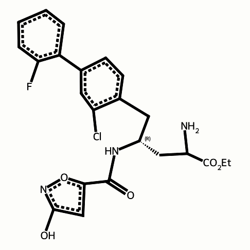 CCOC(=O)C(N)C[C@@H](Cc1ccc(-c2ccccc2F)cc1Cl)NC(=O)c1cc(O)no1